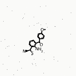 COc1ccc(C(=O)c2cccc(C(C#N)SC)c2N)cc1